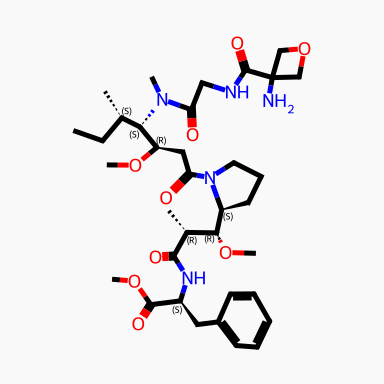 CC[C@H](C)[C@@H]([C@@H](CC(=O)N1CCC[C@H]1[C@H](OC)[C@@H](C)C(=O)N[C@@H](Cc1ccccc1)C(=O)OC)OC)N(C)C(=O)CNC(=O)C1(N)COC1